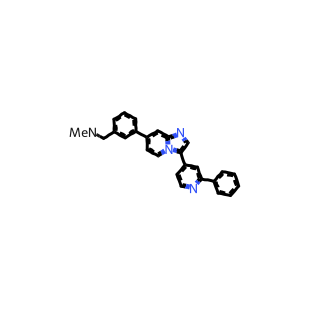 CNCc1cccc(-c2ccn3c(-c4ccnc(-c5ccccc5)c4)cnc3c2)c1